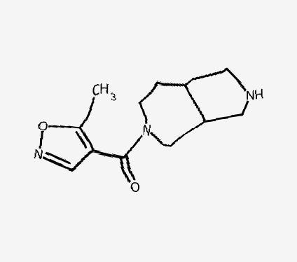 Cc1oncc1C(=O)N1CCC2CNCC2C1